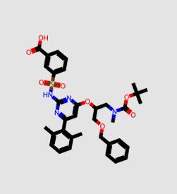 Cc1cccc(C)c1-c1cc(OC(COCc2ccccc2)CN(C)C(=O)OC(C)(C)C)nc(NS(=O)(=O)c2cccc(C(=O)O)c2)n1